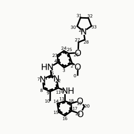 COc1cc(Nc2ncc(C)c(Nc3cccc4c3OCO4)n2)ccc1OCCN1CCCC1